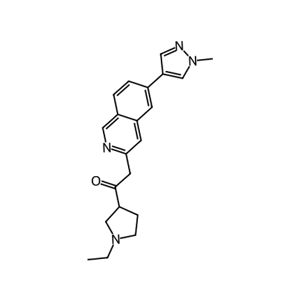 CCN1CCC(C(=O)Cc2cc3cc(-c4cnn(C)c4)ccc3cn2)C1